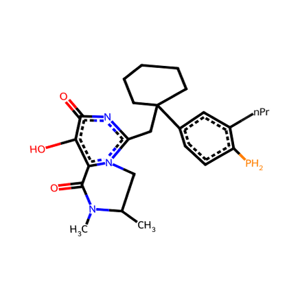 CCCc1cc(C2(Cc3nc(=O)c(O)c4n3CC(C)N(C)C4=O)CCCCC2)ccc1P